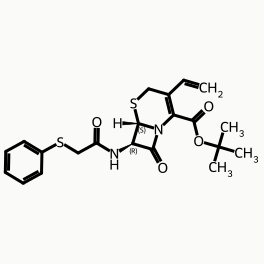 C=CC1=C(C(=O)OC(C)(C)C)N2C(=O)[C@@H](NC(=O)CSc3ccccc3)[C@@H]2SC1